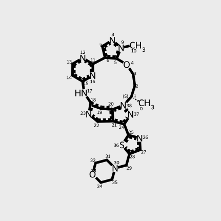 C[C@H]1CCOc2c(cnn2C)-c2nccc(n2)Nc2cc3c(cn2)c(-c2ncc(CN4CCOCC4)s2)nn31